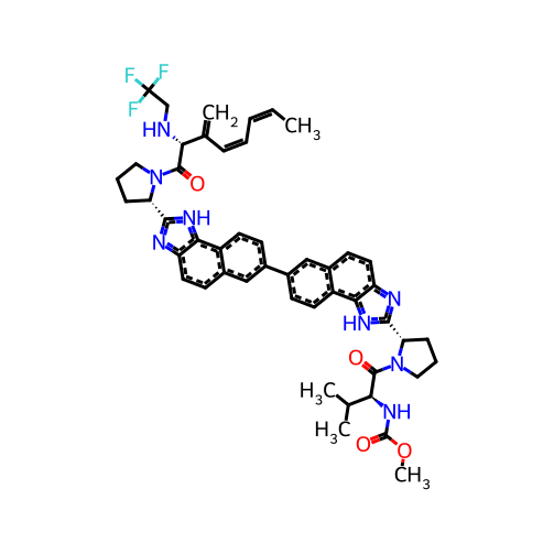 C=C(/C=C\C=C/C)[C@@H](NCC(F)(F)F)C(=O)N1CCC[C@H]1c1nc2ccc3cc(-c4ccc5c(ccc6nc([C@@H]7CCCN7C(=O)[C@@H](NC(=O)OC)C(C)C)[nH]c65)c4)ccc3c2[nH]1